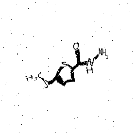 CSc1ccc(C(=O)NN)s1